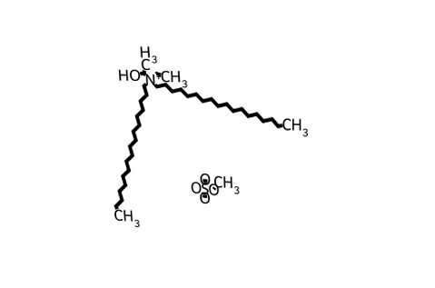 CCCCCCCCCCCCCCCCCC[N+](CC)(CCCCCCCCCCCCCCCCCC)C(C)O.COS(=O)(=O)[O-]